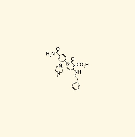 CN1CCN(c2cc(C(N)=O)ccc2-n2ccc(NCCc3ccccc3)c(C(=O)O)c2=O)CC1